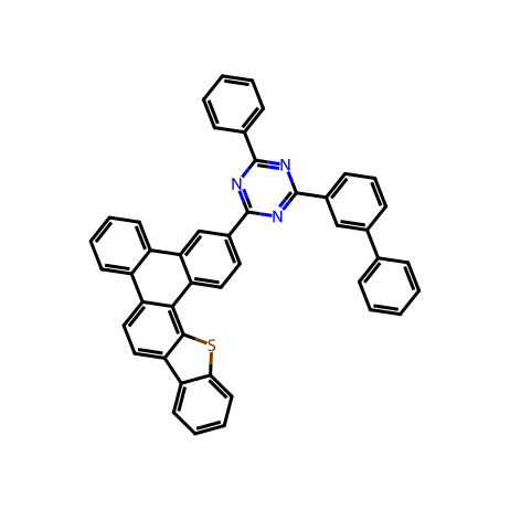 c1ccc(-c2cccc(-c3nc(-c4ccccc4)nc(-c4ccc5c(c4)c4ccccc4c4ccc6c7ccccc7sc6c45)n3)c2)cc1